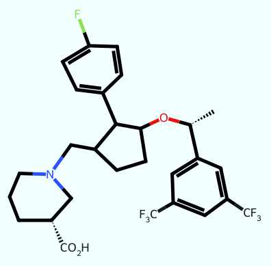 C[C@@H](OC1CCC(CN2CCC[C@@H](C(=O)O)C2)C1c1ccc(F)cc1)c1cc(C(F)(F)F)cc(C(F)(F)F)c1